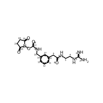 N=C(N)NCCNC(=O)Cc1cccc(CNC(=O)ON2C(=O)CCC2=O)c1